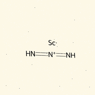 N=[N+]=N.[Sc]